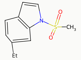 CCc1ccc2ccn(S(C)(=O)=O)c2c1